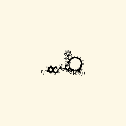 CC(C)(C)OC(=O)N[C@H]1CCCCCC=C[C@@H]2C[C@@]2(C(=O)O)NC(=O)[C@@H]2C[C@@H](OC(=O)N3CCc4cc(C(F)(F)F)ccc4C3)CN2C1=O